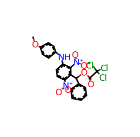 COc1ccc(Nc2ccc([N+](=O)[O-])c(C(OC(=O)C(Cl)(Cl)Cl)c3ccccc3)c2[N+](=O)[O-])cc1